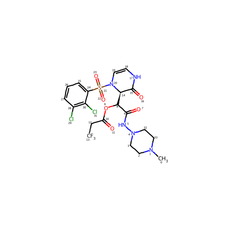 CN1CCN(NC(=O)C(OC(=O)CC(F)(F)F)[C@@H]2C(=O)NC=CN2S(=O)(=O)c2cccc(Cl)c2Cl)CC1